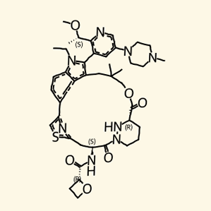 CCn1c(-c2cc(N3CCN(C)CC3)cnc2[C@H](C)OC)c2c3cc(ccc31)-c1csc(n1)C[C@H](NC(=O)[C@H]1CCO1)C(=O)N1CCC[C@](C=O)(COCC(C)(C)C2)N1